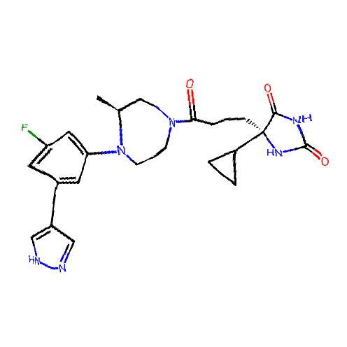 C[C@H]1CN(C(=O)CC[C@@]2(C3CC3)NC(=O)NC2=O)CCN1c1cc(F)cc(-c2cn[nH]c2)c1